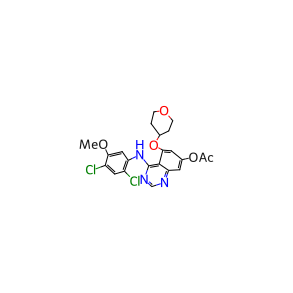 COc1cc(Nc2ncnc3cc(OC(C)=O)cc(OC4CCOCC4)c23)c(Cl)cc1Cl